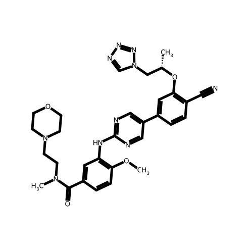 COc1ccc(C(=O)N(C)CCN2CCOCC2)cc1Nc1ncc(-c2ccc(C#N)c(O[C@@H](C)Cn3cnnn3)c2)cn1